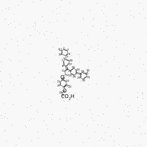 Cc1cccc(-c2ccc(C(=CCOc3ccc(OCC(=O)O)c(C)c3)c3ccc(-c4cccc(C)c4)cc3)cc2)c1